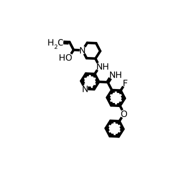 C=CC(O)N1CCCC(Nc2ccncc2C(=N)c2ccc(Oc3ccccc3)cc2F)C1